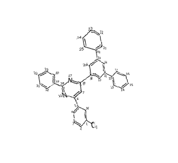 Clc1cccc(-c2cc(-c3cc(-c4ccccc4)cc(-c4ccccc4)c3)nc(-c3ccccc3)n2)c1